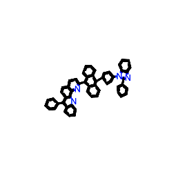 c1ccc(-c2c3ccccc3nc3c2ccc2ccc(-c4c5ccccc5c(-c5ccc(-n6c(-c7ccccc7)nc7ccccc76)cc5)c5ccccc45)nc23)cc1